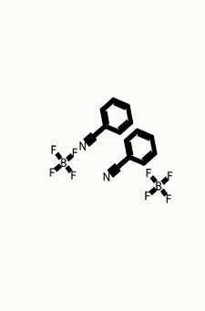 F[B-](F)(F)F.F[B-](F)(F)F.N#Cc1ccccc1.N#Cc1ccccc1